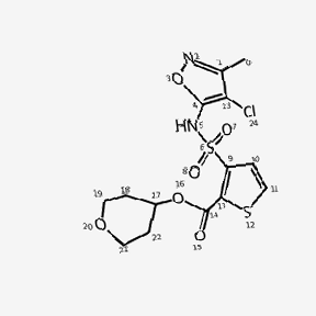 Cc1noc(NS(=O)(=O)c2ccsc2C(=O)OC2CCOCC2)c1Cl